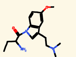 CCC(N)C(=O)n1cc(CCN(C)C)c2cc(OC)ccc21